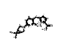 Cc1nc(N2CC3C(C2)C3(F)F)ccc1Cc1ccc(C(=O)O)s1